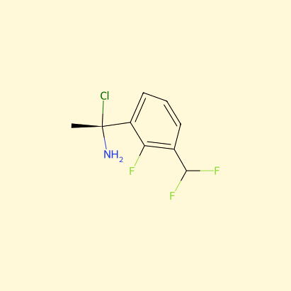 C[C@@](N)(Cl)c1cccc(C(F)F)c1F